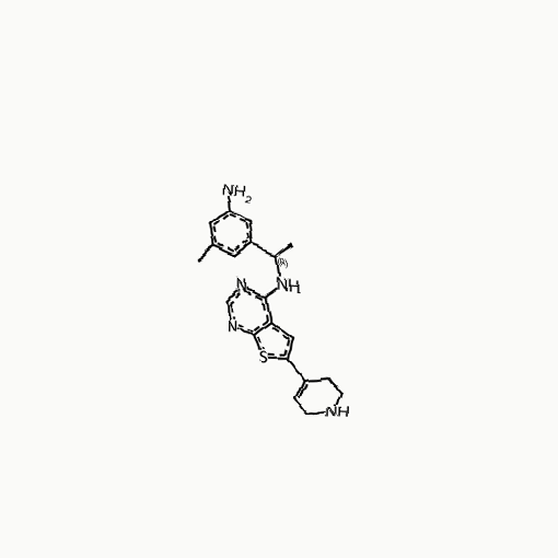 Cc1cc(N)cc([C@@H](C)Nc2ncnc3sc(C4=CCNCC4)cc23)c1